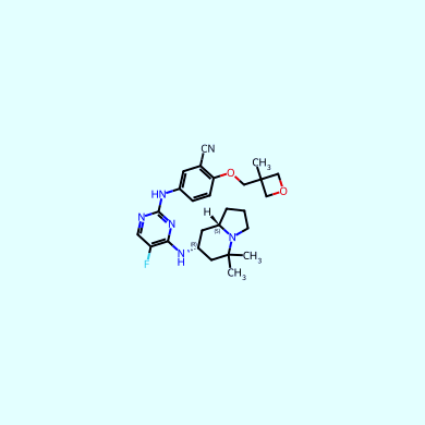 CC1(COc2ccc(Nc3ncc(F)c(N[C@@H]4C[C@@H]5CCCN5C(C)(C)C4)n3)cc2C#N)COC1